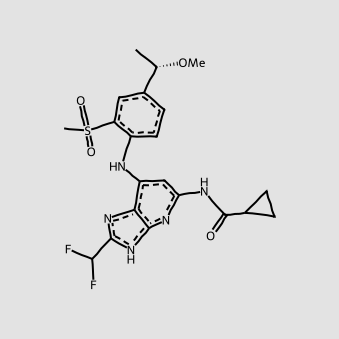 CO[C@@H](C)c1ccc(Nc2cc(NC(=O)C3CC3)nc3[nH]c(C(F)F)nc23)c(S(C)(=O)=O)c1